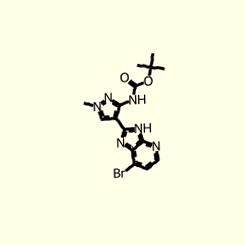 Cn1cc(-c2nc3c(Br)ccnc3[nH]2)c(NC(=O)OC(C)(C)C)n1